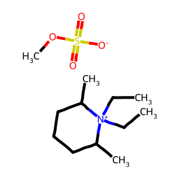 CC[N+]1(CC)C(C)CCCC1C.COS(=O)(=O)[O-]